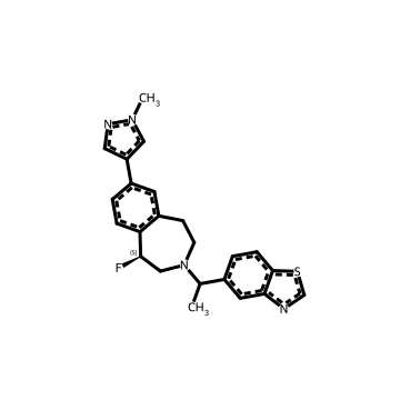 CC(c1ccc2scnc2c1)N1CCc2cc(-c3cnn(C)c3)ccc2[C@H](F)C1